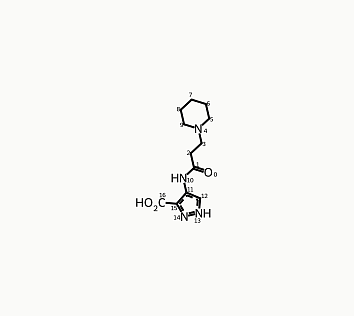 O=C(CCN1CCCCC1)Nc1c[nH]nc1C(=O)O